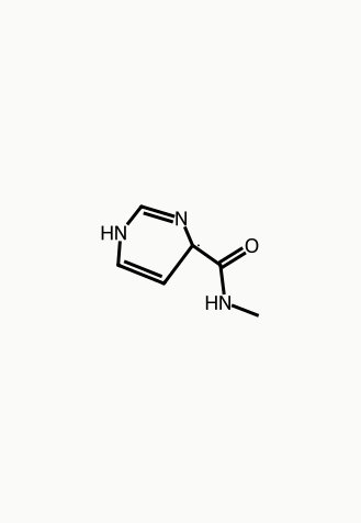 CNC(=O)[C]1C=CNC=N1